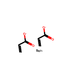 C=CC(=O)[O-].C=CC(=O)[O-].[Be+2]